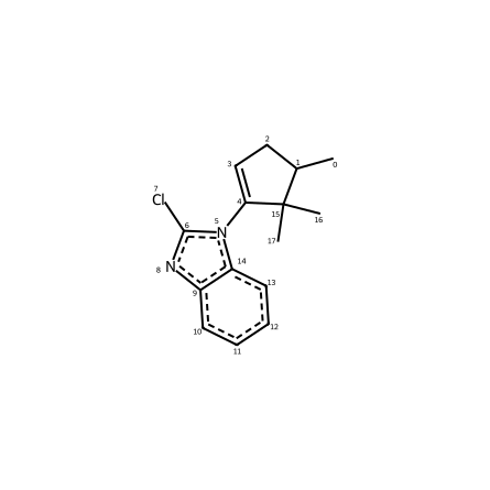 CC1CC=C(n2c(Cl)nc3ccccc32)C1(C)C